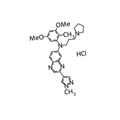 COc1cc(OC)c(C)c(N(CCCN2CCCC2)c2ccc3ncc(-c4cnn(C)c4)nc3c2)c1.Cl